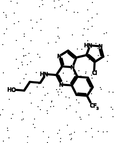 OCCCNc1nc2cc(C(F)(F)F)ccc2n2c(-c3[nH]ncc3Cl)cnc12